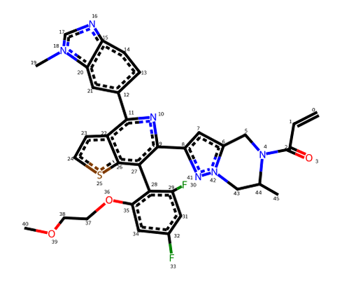 C=CC(=O)N1Cc2cc(-c3nc(-c4ccc5ncn(C)c5c4)c4ccsc4c3-c3c(F)cc(F)cc3OCCOC)nn2CC1C